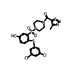 Cc1nnsc1C(=O)N1CCN(S(=O)(=O)c2cc(C#N)ccc2Sc2cc(Cl)cc(Cl)c2)CC1